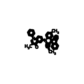 Cc1ccc2c(c1)C1(c3ccccc3-c3ccccc31)c1cc(C)ccc1N2c1ccc2c(c1)c(=O)c(C)cn2-c1ccccc1